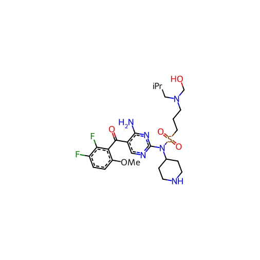 COc1ccc(F)c(F)c1C(=O)c1cnc(N(C2CCNCC2)S(=O)(=O)CCCN(CO)CC(C)C)nc1N